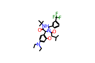 CCN(CC)c1ccc2c(c1)OC(C(C)C)C(=O)N(Cc1cccc(C(F)(F)F)c1)C2C(=O)NC(C)(C)C